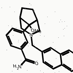 COC1(c2cccc(C(N)=O)c2)C2CCC1CN(Cc1ccc3ccccc3c1)C2